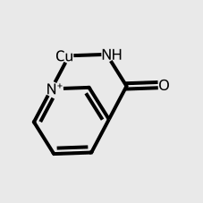 O=C1[NH][Cu][n+]2cccc1c2